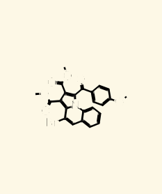 COC(=O)c1c(C(=O)OC)c2c(Br)cc3ccccc3n2c1C(=O)c1ccc(OC)cc1